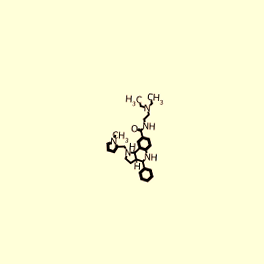 CCN(CC)CCNC(=O)c1ccc2c(c1)[C@@H]1[C@@H](CCN1Cc1cccn1C)C(c1ccccc1)N2